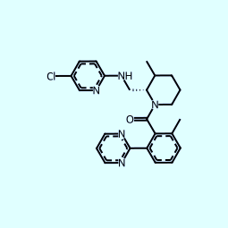 Cc1cccc(-c2ncccn2)c1C(=O)N1CCCC(C)[C@H]1CNc1ccc(Cl)cn1